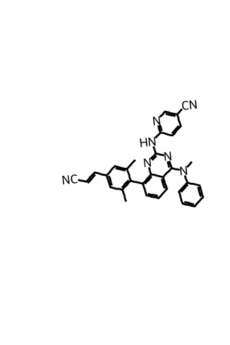 Cc1cc(/C=C/C#N)cc(C)c1-c1cccc2c(N(C)c3ccccc3)nc(Nc3ccc(C#N)cn3)nc12